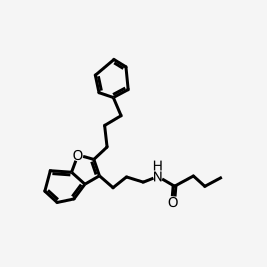 CCCC(=O)NCCCc1c(CCCc2ccccc2)oc2ccccc12